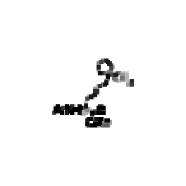 COC(=O)[C@H](CC=CCC1(C)CCCC1)NC(C)=O